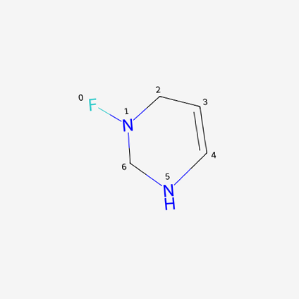 FN1CC=CNC1